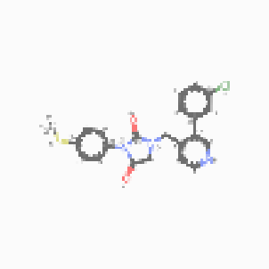 O=C1CN(Cc2ccncc2-c2cccc(Cl)c2)C(=O)N1c1ccc(SC(F)(F)F)cc1